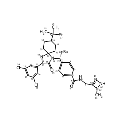 CCCC[C@H](c1ccc(C(=O)NCc2n[nH]n2C)cc1)N1C(=O)C(c2cc(Cl)cc(Cl)c2)=NC12CCC(C(C)(C)CC)CC2